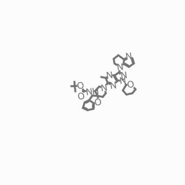 Cc1nc2c(N3CCCc4ncccc43)nn(C3CCCCO3)c2nc1N1CCC2(CC1)Oc1ccccc1[C@H]2NC(=O)OC(C)(C)C